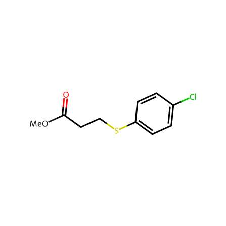 COC(=O)CCSc1ccc(Cl)cc1